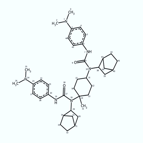 CN(C)c1ccc(NC(=O)N(C2CCC(C)(N(C(=O)Nc3ccc(N(C)C)cc3)C3CC4CCC3C4)CC2)C2CC3CCC2C3)cc1